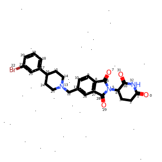 O=C1CCC(N2C(=O)c3ccc(CN4CCC(c5cccc(Br)c5)CC4)cc3C2=O)C(=O)N1